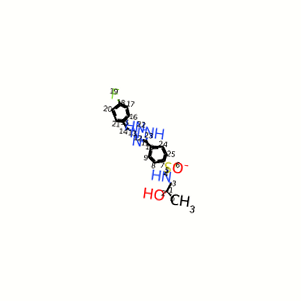 C[C@@H](O)CN[S+]([O-])c1ccc(C2=NN(Cc3ccc(F)cc3)NN2)cc1